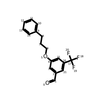 O=Cc1cc(OCCCc2ccccc2)cc(C(F)(F)F)c1